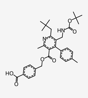 Cc1ccc(-c2c(CNC(=O)OC(C)(C)C)c(CC(C)(C)C)nc(C)c2C(=O)OCc2ccc(C(=O)O)cc2)cc1